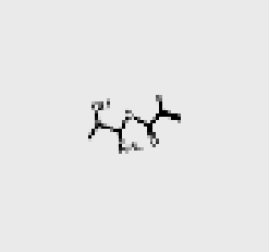 C=C(C)C(=O)OC(N)C(C)O